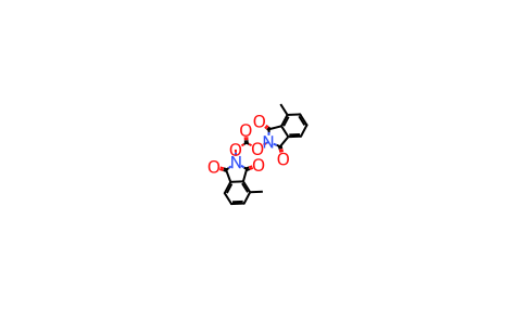 Cc1cccc2c1C(=O)N(OC(=O)ON1C(=O)c3cccc(C)c3C1=O)C2=O